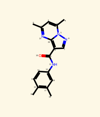 Cc1cc(C)n2ncc(C(=O)Nc3ccc(C)c(C)c3)c2n1